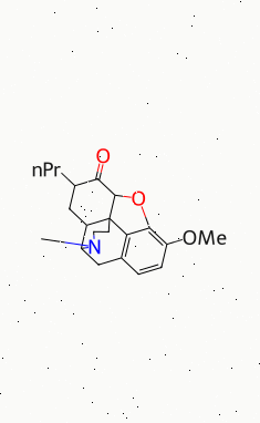 CCCC1CC2C3Cc4ccc(OC)c5c4C2(CCN3C)C(O5)C1=O